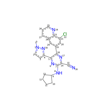 Cn1ccc(-c2nc(NC3CCCC3)c(C#N)nc2-c2cc(Cl)c3ncccc3c2)n1